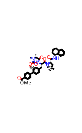 COC(=O)c1ccc(-c2ccc(C[C@H](NC(=O)[C@H](C)N(C)C(=O)OC(C)(C)C)C(=O)N3C[Si](C)(C)C[C@H]3C(=O)N[C@@H]3CCCc4ccccc43)cc2)cc1